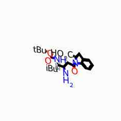 CC[C@H](C)[C@H](NC(=O)OC(C)(C)C)C(N)CC(=O)N1c2ccccc2CC1C(=O)O